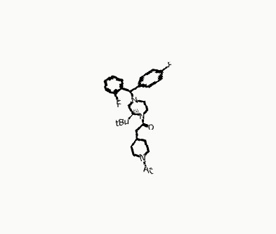 CC(=O)N1CCC(CC(=O)N2CCN(C(c3ccc(F)cc3)c3ccccc3F)C[C@@H]2C(C)(C)C)CC1